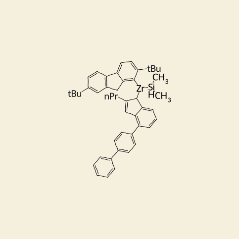 CCCC1=Cc2c(-c3ccc(-c4ccccc4)cc3)cccc2[CH]1[Zr]([c]1c(C(C)(C)C)ccc2c1Cc1cc(C(C)(C)C)ccc1-2)[SiH](C)C